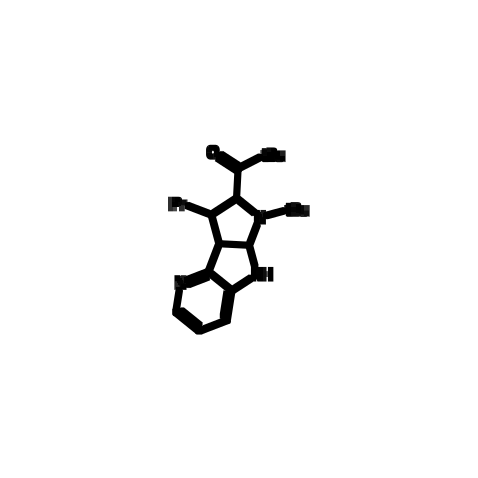 CC(C)C1C2c3ncccc3NC2N(C(C)(C)C)C1C(=O)C(C)(C)C